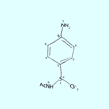 CC(=O)N[S+]([O-])c1ccc(N)cc1